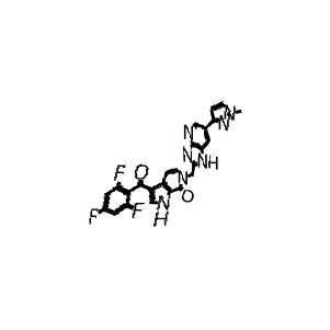 Cn1ccc(-c2cnc3nc(Cn4ccc5c(C(=O)c6c(F)cc(F)cc6F)c[nH]c5c4=O)[nH]c3c2)n1